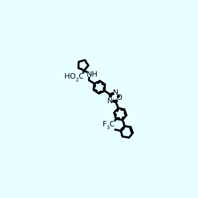 CC1=C(c2ccc(-c3nc(-c4ccc(CNC5(C(=O)O)CCCC5)cc4)no3)cc2C(F)(F)F)C=CCC1